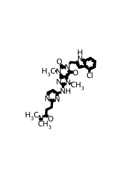 CN(C)C(=O)CCc1nccc(Nc2nc3c(c(=O)n(Cc4cc5c(Cl)cccc5[nH]4)c(=O)n3C)n2C)n1